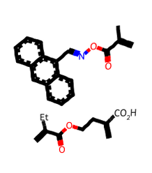 C=C(C)C(=O)ON=Cc1c2ccccc2cc2ccccc12.C=C(CCOC(=O)C(=C)CC)C(=O)O